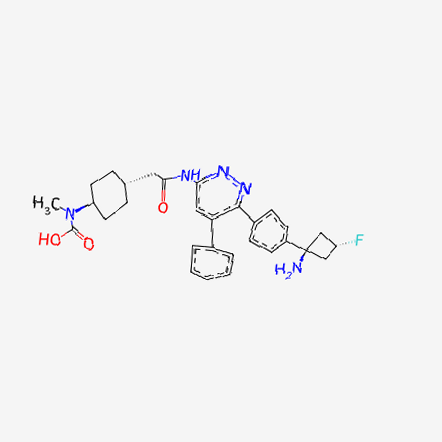 CN(C(=O)O)[C@H]1CC[C@H](CC(=O)Nc2cc(-c3ccccc3)c(-c3ccc([C@]4(N)C[C@H](F)C4)cc3)nn2)CC1